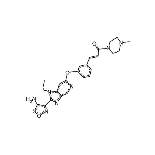 CCn1c(-c2nonc2N)nc2cnc(Oc3cccc(/C=C/C(=O)N4CCN(C)CC4)c3)cc21